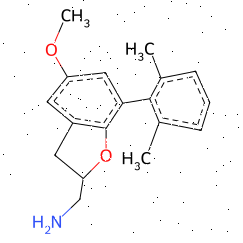 COc1cc2c(c(-c3c(C)cccc3C)c1)OC(CN)C2